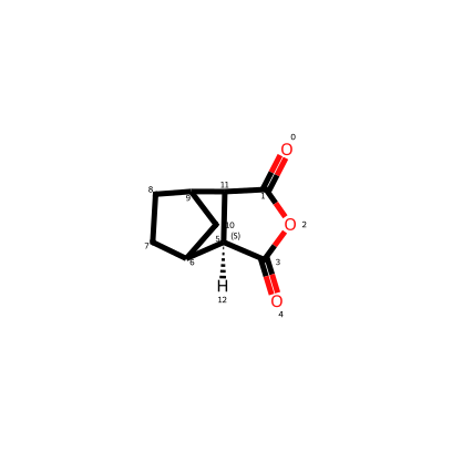 O=C1OC(=O)[C@H]2C3CCC(C3)C12